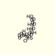 CCC(CO)OC(COC(=O)NCCC(=O)NCCNC(=O)Oc1cc2c(c3ccccc13)[C@H](CCl)CN2C(=O)c1cc2cc(OC)c(OC)c(OC)c2[nH]1)OC